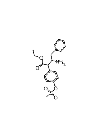 CCOC(=O)C(c1ccc(OS(C)(=O)=O)cc1)C(N)Cc1ccccc1